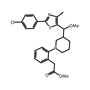 COC(=O)Cc1ccccc1N1CCCC(C(OC)c2sc(-c3ccc(Cl)cc3)nc2C)C1